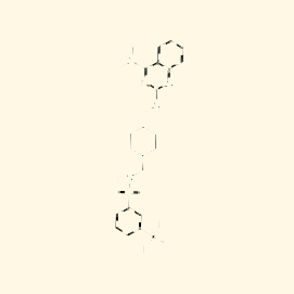 CN(C)c1nc(NC[C@H]2CC[C@H](CNS(=O)(=O)c3cccc(C(F)(F)F)c3)CC2)nc2ccccc12